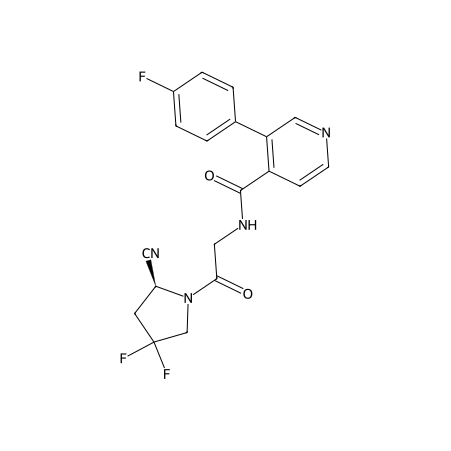 N#C[C@@H]1CC(F)(F)CN1C(=O)CNC(=O)c1ccncc1-c1ccc(F)cc1